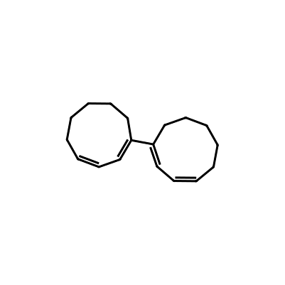 C1=CCCCCCC(C2=CC=CCCCCC2)=C1